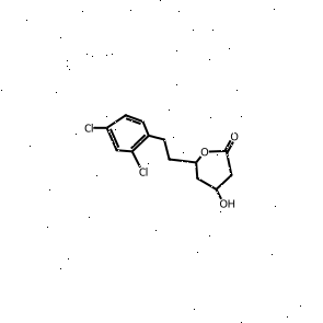 O=C1CC(O)CC(CCc2ccc(Cl)cc2Cl)O1